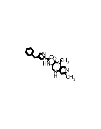 Cc1cc2c(cn1)N(C)C(=O)[C@@H](NC(=O)n1cc(Cc3ccccc3)cn1)CN2